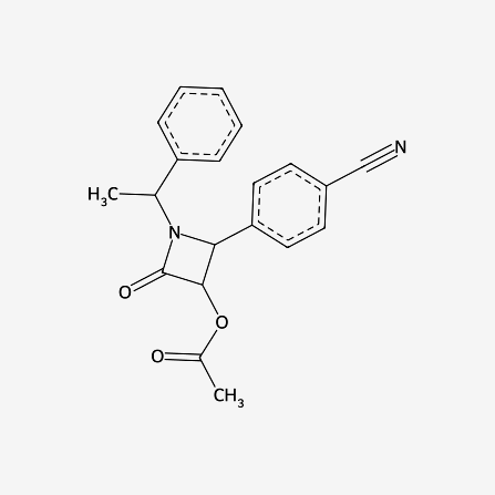 CC(=O)OC1C(=O)N(C(C)c2ccccc2)C1c1ccc(C#N)cc1